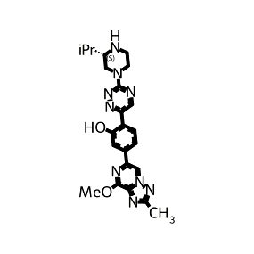 COc1nc(-c2ccc(-c3cnc(N4CCN[C@@H](C(C)C)C4)nn3)c(O)c2)cn2nc(C)nc12